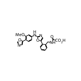 COc1cc(Nc2ncc(-c3ccccc3CNC(=O)C(=O)O)o2)ccc1-c1cnco1